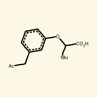 CC(=O)Cc1cccc(OC(C(=O)O)C(C)(C)C)c1